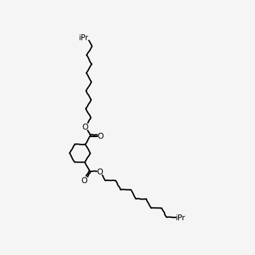 CC(C)CCCCCCCCCOC(=O)C1CCCC(C(=O)OCCCCCCCCCC(C)C)C1